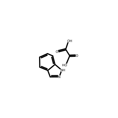 O=C(O)C(=O)O.c1ccc2[nH]ncc2c1